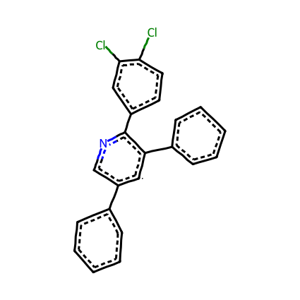 Clc1ccc(-c2ncc(-c3ccccc3)[c]c2-c2ccccc2)cc1Cl